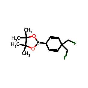 CC1(C)OB(C2C=CC(CF)(CF)C=C2)OC1(C)C